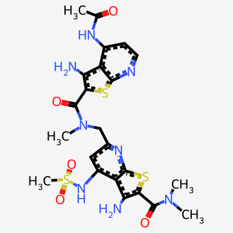 CC(=O)Nc1ccnc2sc(C(=O)N(C)Cc3cc(NS(C)(=O)=O)c4c(N)c(C(=O)N(C)C)sc4n3)c(N)c12